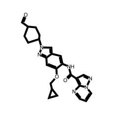 O=CC1CCC(n2cc3cc(NC(=O)c4cnn5cccnc45)c(OCC4CC4)cc3n2)CC1